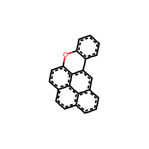 c1ccc2c(c1)Oc1ccc3ccc4cccc5cc-2c1c3c45